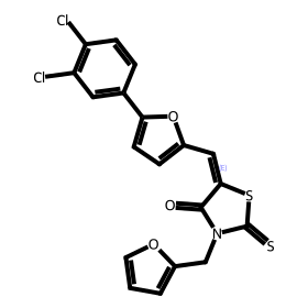 O=C1/C(=C\c2ccc(-c3ccc(Cl)c(Cl)c3)o2)SC(=S)N1Cc1ccco1